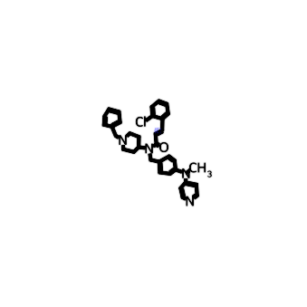 CN(c1ccncc1)c1ccc(CN(C(=O)/C=C/c2ccccc2Cl)C2CCN(Cc3ccccc3)CC2)cc1